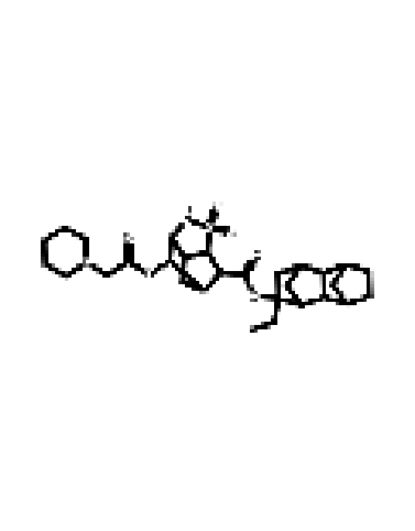 CCC1(OC(=O)C2C3CC4C(NS(=O)(=O)C42)C3OC(=O)CN2CCCCC2)CC2CC1C1C3CCC(C3)C21